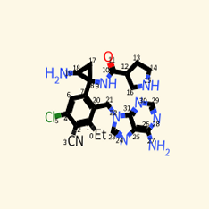 CCc1c(C#N)c(Cl)cc(C2(NC(=O)C3CCNC3)CC2N)c1Cn1cnc2c(N)ncnc21